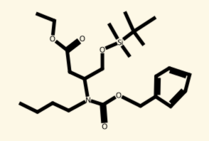 CCCCN(C(=O)OCc1ccccc1)C(CO[Si](C)(C)C(C)(C)C)CC(=O)OCC